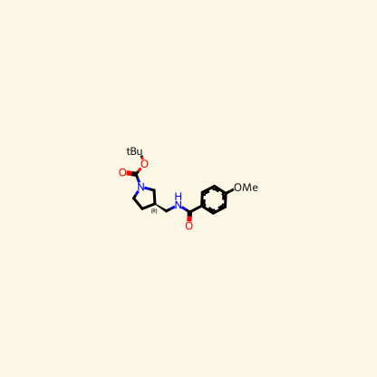 COc1ccc(C(=O)NC[C@H]2CCN(C(=O)OC(C)(C)C)C2)cc1